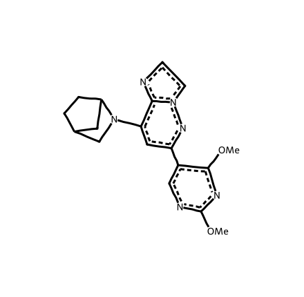 COc1ncc(-c2cc(N3CC4CCC3C4)c3nccn3n2)c(OC)n1